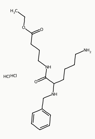 CCOC(=O)CCCNC(=O)C(CCCCN)NCc1ccccc1.Cl.Cl